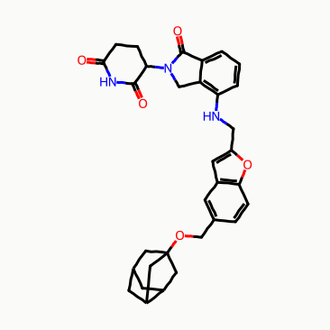 O=C1CCC(N2Cc3c(NCc4cc5cc(COC67CC8CC(C6)C(C8)C7)ccc5o4)cccc3C2=O)C(=O)N1